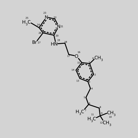 Cc1cc(CCC(C)CC(C)(C)C)ccc1OCCNc1ncnc(C)c1Br